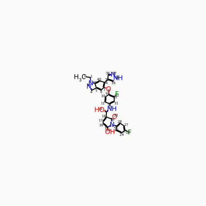 CCn1ncc2cc(Oc3ccc(NC(O)c4ccc(O)n(-c5ccc(F)cc5)c4=O)cc3F)c(-c3cn[nH]c3)cc21